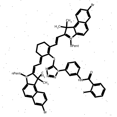 CCCCCN1/C(=C/C=C2\CCCC(/C=C/C3=[N+](CCCCC)c4ccc5cc(Br)ccc5c4C3(C)C)=C2Sc2nnnn2-c2cccc(NC(=O)c3ccccc3I)c2)C(C)(C)c2c1ccc1cc(Br)ccc21